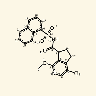 COc1ncc(Cl)c2c1C(C(=O)NS(=O)(=O)c1cccc3ccccc13)CC2